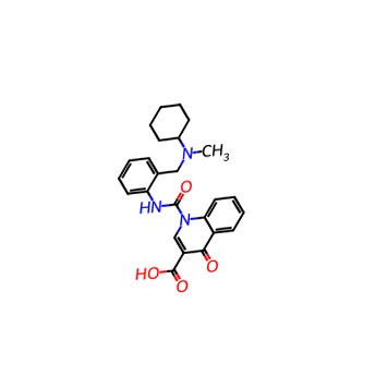 CN(Cc1ccccc1NC(=O)n1cc(C(=O)O)c(=O)c2ccccc21)C1CCCCC1